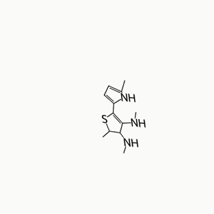 CNC1=C(c2ccc(C)[nH]2)SC(C)C1NC